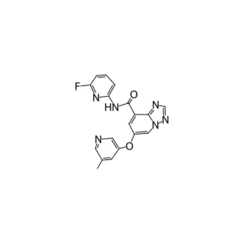 Cc1cncc(Oc2cc(C(=O)Nc3cccc(F)n3)c3ncnn3c2)c1